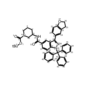 CC(C)(C)OC(=O)N1CCCC(NC(=O)c2ccc3c(c2)c(-c2ccc4c(c2)CCO4)nn3C(c2ccccc2)(c2ccccc2)c2ccccc2)C1